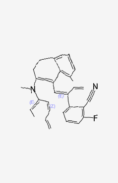 C=C/C=C\C(=C/C)N(C)C1=C(/C=C(\C=C)c2cccc(F)c2C#N)c2c(C)cccc2CC1